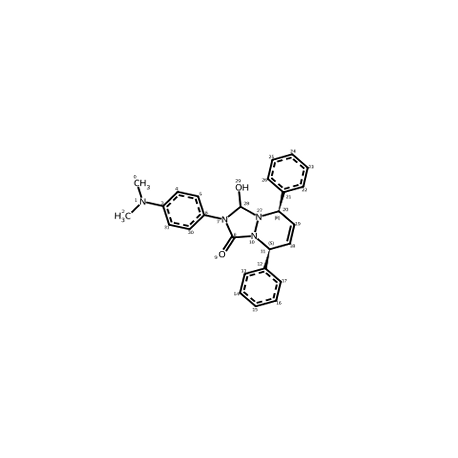 CN(C)c1ccc(N2C(=O)N3[C@H](c4ccccc4)C=C[C@H](c4ccccc4)N3C2O)cc1